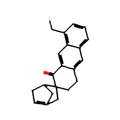 CC(C)Cc1cccc2cc3c(cc12)C(=O)C1(CC3)CC2=CCC1C2